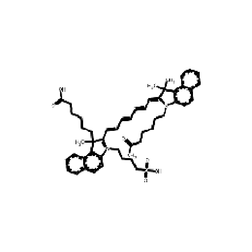 CC(=O)CCCCCN1\C(=C/C=C/C=C/C=C/C2=[N+](CCCCS(=O)(=O)O)c3ccc4ccccc4c3C2(C)CCCCCC(=O)O)C(C)(C)c2c1ccc1ccccc21